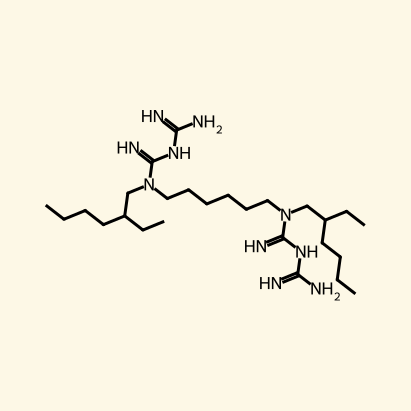 CCCCC(CC)CN(CCCCCCN(CC(CC)CCCC)C(=N)NC(=N)N)C(=N)NC(=N)N